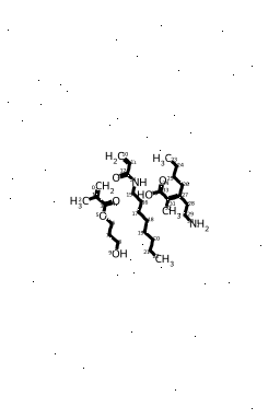 C=C(C)C(=O)OCCCO.C=CC(=O)NCCCCCCCC.CCCCC(CCN)=C(C)C(=O)O